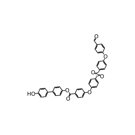 O=Cc1ccc(Oc2ccc(S(=O)(=O)c3ccc(Oc4ccc(C(=O)Oc5ccc(-c6ccc(O)cc6)cc5)cc4)cc3)cc2)cc1